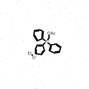 CC(=O)OC[P+](c1ccccc1)(c1ccccc1)c1ccccc1.CC[O-]